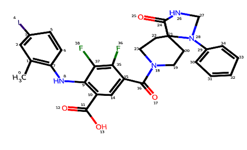 Cc1cc(I)ccc1Nc1c(C(=O)O)cc(C(=O)N2CCC3(CC2)C(=O)NCN3c2ccccc2)c(F)c1F